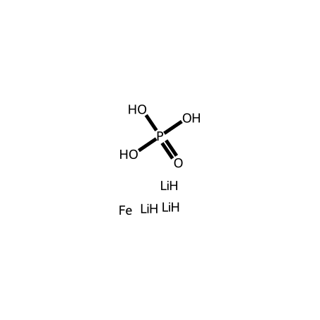 O=P(O)(O)O.[Fe].[LiH].[LiH].[LiH]